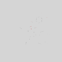 CC(C)=CCC[C@]1(C)[C@@H](CC=C(C)C)C[C@]2(CC=C(C)C)C(=O)[C@@]1(CC=C(C)C)C(=O)C(C(=O)c1ccc(O)c(O)c1)=C2O